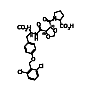 O=C(O)C1CCCN1C(=O)[C@@H]1OCO[C@H]1C(=O)N[C@@H](Cc1ccc(OCc2c(Cl)cccc2Cl)cc1)C(=O)O